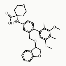 COc1cc(-c2ccc(NC3(C(=O)O)CCOCC3)cc2COC2COc3ccccc32)c(F)c(OC)c1C